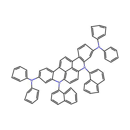 c1ccc(N(c2ccccc2)c2ccc3c(c2)N(c2cccc4ccccc24)c2ccc4c5c(ccc-3c25)-c2ccc(N(c3ccccc3)c3ccccc3)cc2N4c2cccc3ccccc23)cc1